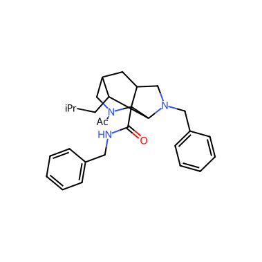 CC(=O)N1CC2CC3CN(Cc4ccccc4)C(C2CC(C)C)C31C(=O)NCc1ccccc1